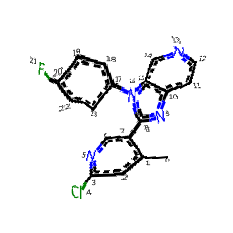 Cc1cc(Cl)ncc1-c1nc2ccncc2n1-c1ccc(F)cc1